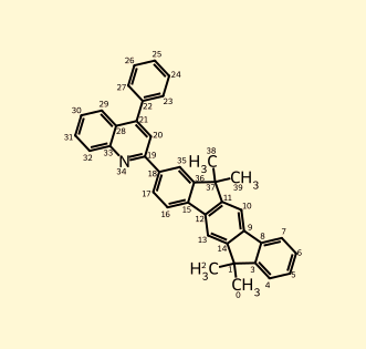 CC1(C)c2ccccc2-c2cc3c(cc21)-c1ccc(-c2cc(-c4ccccc4)c4ccccc4n2)cc1C3(C)C